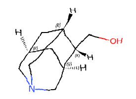 OC[C@@H]1[C@@H]2C[C@@H]3C[C@H]1CN(C3)C2